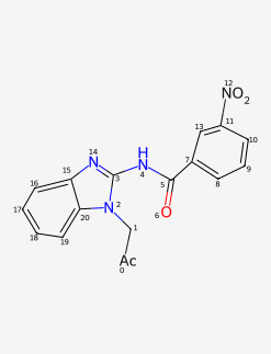 CC(=O)Cn1c(NC(=O)c2cccc([N+](=O)[O-])c2)nc2ccccc21